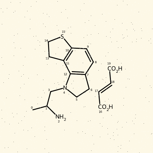 CC(N)CN1CCc2ccc3c(c21)CCS3.O=C(O)C=CC(=O)O